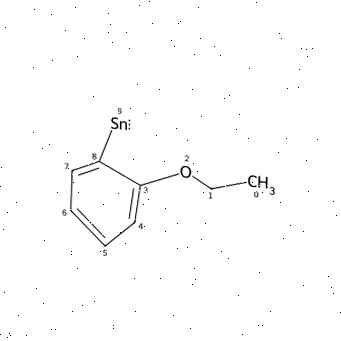 CCOc1cccc[c]1[Sn]